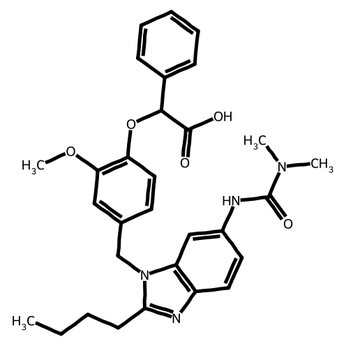 CCCCc1nc2ccc(NC(=O)N(C)C)cc2n1Cc1ccc(OC(C(=O)O)c2ccccc2)c(OC)c1